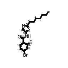 CCCCCCCc1ncc(NC(=O)c2ccc(Br)cc2F)s1